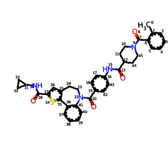 Cc1ccccc1C(=O)N1CCC(C(=O)Nc2ccc(C(=O)N3CCc4cc(C(=O)NC5CC5)sc4-c4ccccc43)cc2)CC1